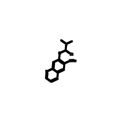 CCC(Oc1cc2ncc[c]c2cc1OC)N(C)C